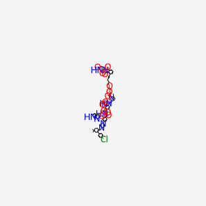 CC1(C)CCC(CN2CCN(c3ccc(C(=O)NS(=O)(=O)c4ccc(NCC5CCCN(C(=O)COCCOCCCC#Cc6cccc7c6C(=O)N(C6CCC(=O)NC6=O)C7=O)C5)c([N+](=O)[O-])c4)c(Oc4cnc5[nH]ccc5c4)c3)CC2)=C(c2ccc(Cl)cc2)C1